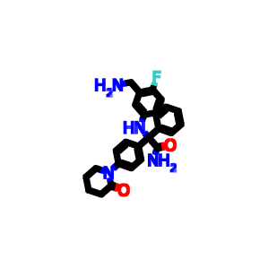 NCc1cc(NC(C(N)=O)(c2ccccc2)c2ccc(N3CCCCC3=O)cc2)ccc1F